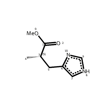 COC(=O)[C@@H](C)Cc1c[nH]cn1